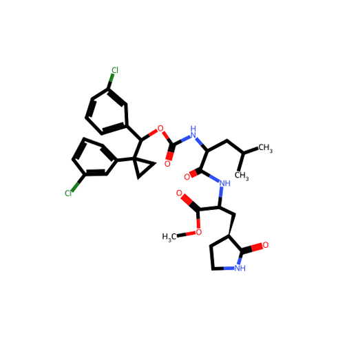 COC(=O)C(C[C@@H]1CCNC1=O)NC(=O)C(CC(C)C)NC(=O)OC(c1cccc(Cl)c1)C1(c2cccc(Cl)c2)CC1